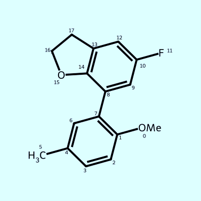 COc1ccc(C)cc1-c1cc(F)cc2c1O[CH]C2